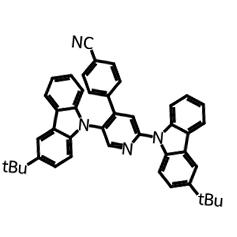 CC(C)(C)c1ccc2c(c1)c1ccccc1n2-c1cc(-c2ccc(C#N)cc2)c(-n2c3ccccc3c3cc(C(C)(C)C)ccc32)cn1